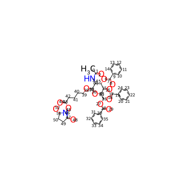 CC(=O)N[C@@H]1C(OC(=O)c2ccccc2)C(OC(=O)c2ccccc2)[C@@H](COC(=O)c2ccccc2)O[C@H]1OCCCCC(=O)ON1C(=O)CCC1=O